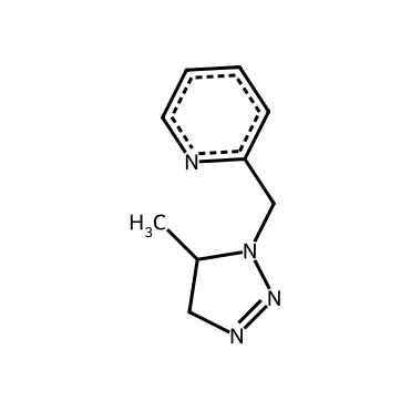 CC1CN=NN1Cc1ccccn1